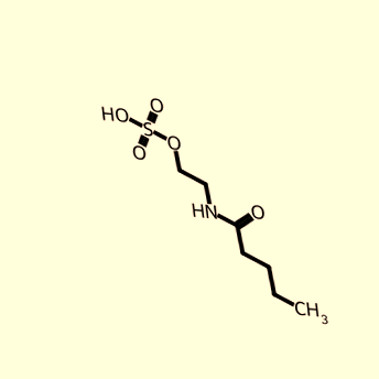 CCCCC(=O)NCCOS(=O)(=O)O